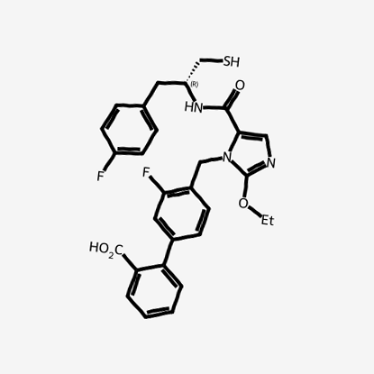 CCOc1ncc(C(=O)N[C@@H](CS)Cc2ccc(F)cc2)n1Cc1ccc(-c2ccccc2C(=O)O)cc1F